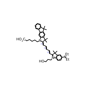 CCN(CC)c1ccc2c(c1)C(C)(C)C(/C=C/C=C/C=C1/N(CCCCCC(=O)O)c3cc4c(cc3C1(C)C)C(C)(C)c1ccccc1-4)=[N+]2CCCO